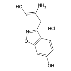 Cl.NC(Cc1noc2cc(O)ccc12)=NO